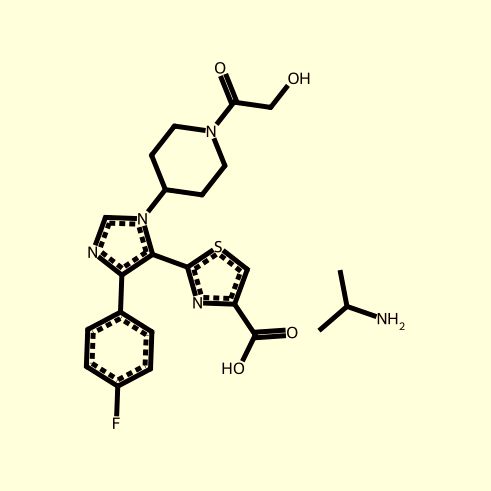 CC(C)N.O=C(O)c1csc(-c2c(-c3ccc(F)cc3)ncn2C2CCN(C(=O)CO)CC2)n1